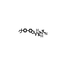 C=C(NC1(C(=C)NC2(C#N)CC2)CC1)C1=Cc2ccc(-c3ccc(C(C)(CC)CC)cc3)cc2C1